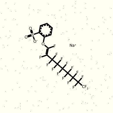 O=S(=O)([O-])c1ccccc1OC(F)=C(F)C(F)(F)C(F)(F)C(F)(F)C(F)(F)C(F)(F)C(F)(F)C(F)(F)F.[Na+]